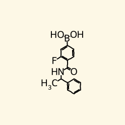 CC(NC(=O)c1ccc(B(O)O)cc1F)c1ccccc1